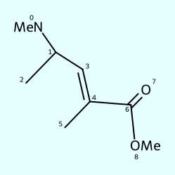 CNC(C)/C=C(\C)C(=O)OC